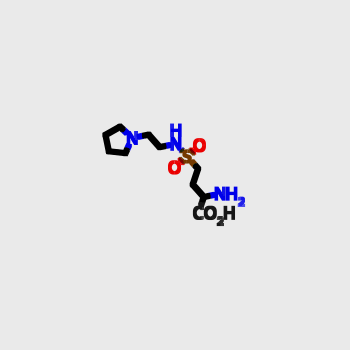 NC(CCS(=O)(=O)NCCN1CCCC1)C(=O)O